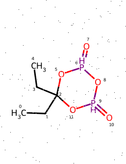 CCC1(CC)O[PH](=O)O[PH](=O)O1